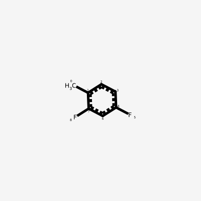 Cc1c[c]c(F)cc1F